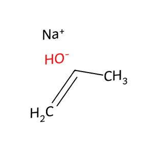 C=CC.[Na+].[OH-]